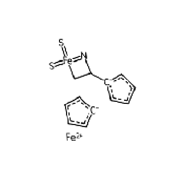 [Fe+2].[S]=[Fe]1(=[S])=[N]C([c-]2cccc2)[CH2]1.c1cc[cH-]c1